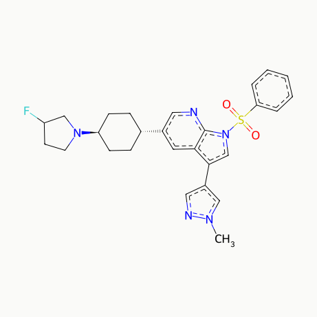 Cn1cc(-c2cn(S(=O)(=O)c3ccccc3)c3ncc([C@H]4CC[C@H](N5CCC(F)C5)CC4)cc23)cn1